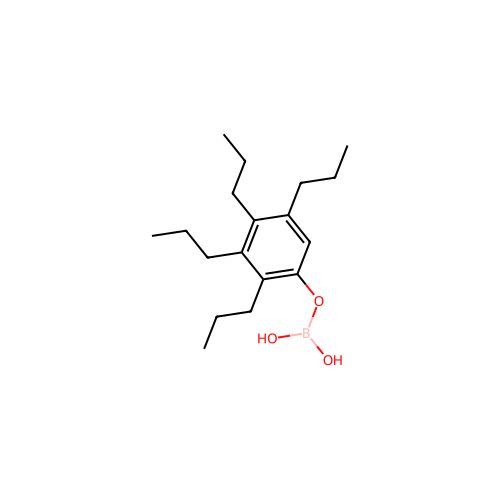 CCCc1cc(OB(O)O)c(CCC)c(CCC)c1CCC